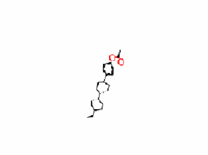 CC[C@H]1CC[C@H]([C@H]2CC[C@H](c3ccc(OC(C)=O)cc3)CC2)CC1